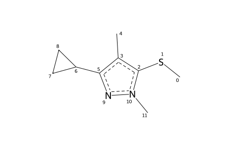 CSc1c(C)c(C2CC2)nn1C